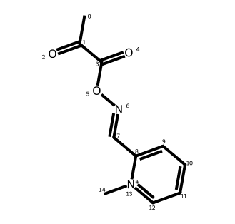 CC(=O)C(=O)O/N=C/c1cccc[n+]1C